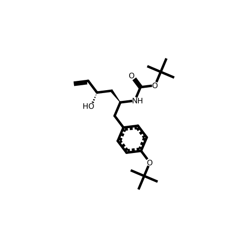 C=C[C@@H](O)C[C@H](Cc1ccc(OC(C)(C)C)cc1)NC(=O)OC(C)(C)C